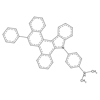 C[SiH](C)c1ccc(-n2c3ccccc3c3c4c5ccccc5c(-c5ccccc5)cc4c4ccccc4c32)cc1